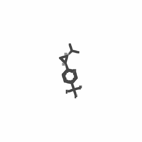 CC(C)[C@H]1C[C@@H]1c1ccc(C(F)(F)F)cn1